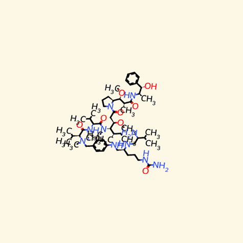 CC[C@H](C)[C@@H]([C@@H](CC(=O)N1CCC[C@H]1[C@H](OC)[C@@H](C)C(=O)N[C@H](C)[C@@H](O)c1ccccc1)OC)N(C)C(=O)[C@@H](NC(=O)[C@H](C(C)C)[N+](C)(C)Cc1ccc(NC[C@H](CCCNC(N)=O)NC[C@@H](N)C(C)C)cc1)C(C)C